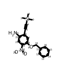 C[Si](C)(C)C#Cc1cc(OCc2ccccc2)c([N+](=O)[O-])cc1N